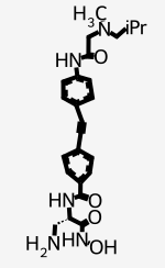 CC(C)CN(C)CC(=O)Nc1ccc(C#Cc2ccc(C(=O)N[C@@H](CN)C(=O)NO)cc2)cc1